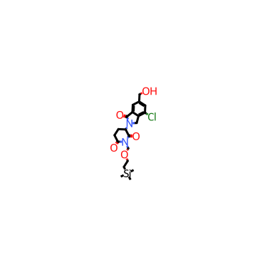 C[Si](C)(C)CCOCN1C(=O)CCC(N2Cc3c(Cl)cc(CO)cc3C2=O)C1=O